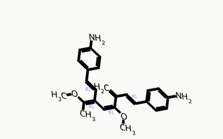 C=C(/C=C/c1ccc(N)cc1)\C(=C/C(/C=C/c1ccc(N)cc1)=C(\C)OC)OC